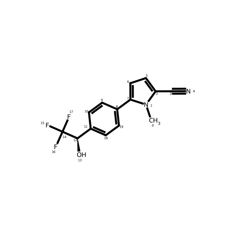 Cn1c(C#N)ccc1-c1ccc([C@@H](O)C(F)(F)F)cc1